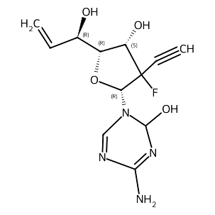 C#CC1(F)[C@@H](O)[C@@H]([C@H](O)C=C)O[C@H]1N1C=NC(N)=NC1O